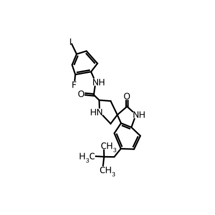 CC(C)(C)Cc1ccc2c(c1)C1(CNC(C(=O)Nc3ccc(I)cc3F)C1)C(=O)N2